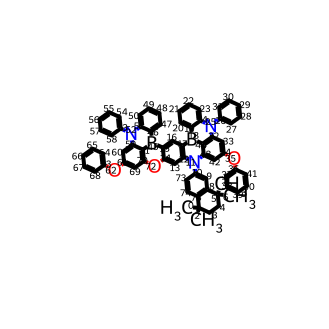 CC1(C)CCC(C)(C)c2cc(N3c4cc5c(cc4B4c6ccccc6N(c6ccccc6)c6cc(Oc7ccccc7)cc3c64)B3c4ccccc4N(c4ccccc4)c4cc(Oc6ccccc6)cc(c43)O5)ccc21